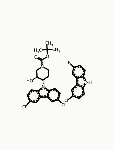 CC(C)(C)OC(=O)N1CC[C@H](n2c3ccc(Cl)cc3c3cc(Cl)ccc32)[C@@H](O)C1.Fc1ccc2[nH]c3ccc(Cl)cc3c2c1